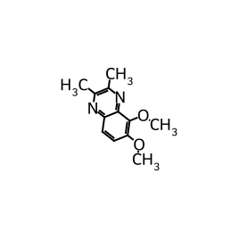 COc1ccc2nc(C)c(C)nc2c1OC